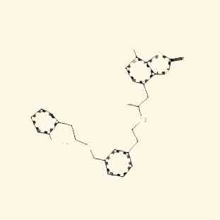 COc1ccccc1CCNCc1cccc(CCNC(O)Cc2ccc(O)c3[nH]c(=O)sc23)c1